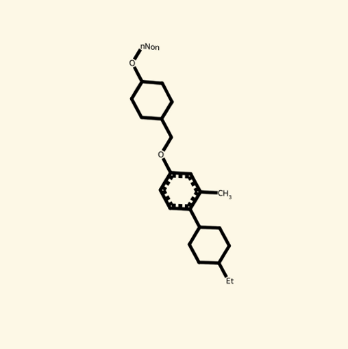 [CH2+][CH-]CCCCCCCOC1CCC(COc2ccc(C3CCC(CC)CC3)c(C)c2)CC1